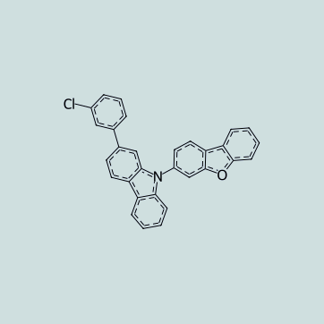 Clc1cccc(-c2ccc3c4ccccc4n(-c4ccc5c(c4)oc4ccccc45)c3c2)c1